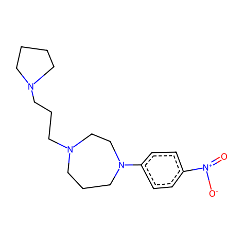 O=[N+]([O-])c1ccc(N2CCCN(CCCN3CCCC3)CC2)cc1